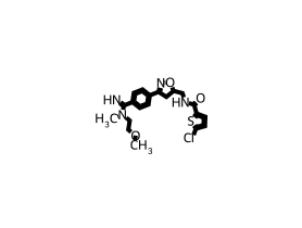 COCCN(C)C(=N)c1ccc(C2=NOC(CNC(=O)c3ccc(Cl)s3)C2)cc1